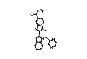 CCCC(=O)c1ccn2c(C)c(-c3cc4ccccc4n3Cc3cnccn3)nc2c1